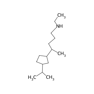 CCNCCCC(C)C1CCC(C(C)C)C1